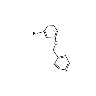 Brc1cccc(OCc2ccncc2)c1